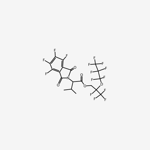 CC(C)C(C(=O)OCC(F)(OC(F)(F)C(F)(F)C(F)(F)F)C(F)(F)F)N1C(=O)c2c(F)c(F)c(F)c(F)c2C1=O